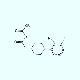 N#Cc1c(F)cccc1N1CCC(CC(=O)OC(=O)C(F)(F)F)CC1